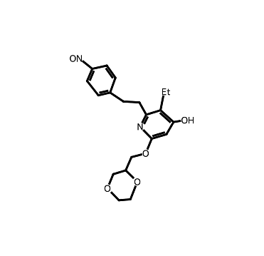 CCc1c(O)cc(OCC2COCCO2)nc1CCc1ccc(N=O)cc1